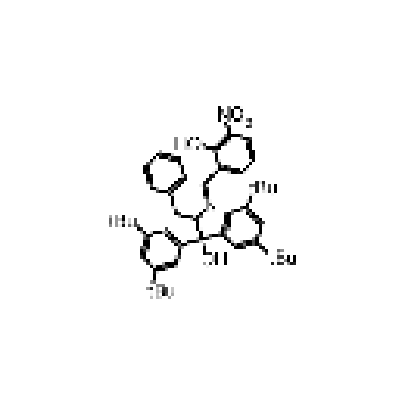 CC(C)(C)c1cc(C(C)(C)C)cc(C(O)(c2cc(C(C)(C)C)cc(C(C)(C)C)c2)C(Cc2ccccc2)N=Cc2cccc([N+](=O)[O-])c2O)c1